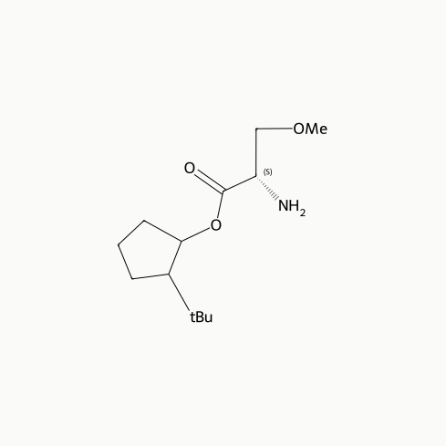 COC[C@H](N)C(=O)OC1CCCC1C(C)(C)C